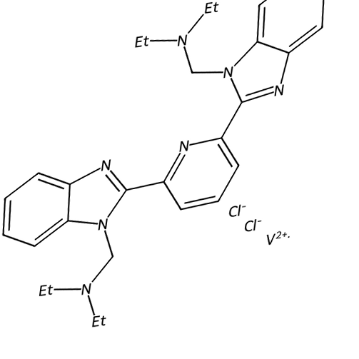 CCN(CC)Cn1c(-c2cccc(-c3nc4ccccc4n3CN(CC)CC)n2)nc2ccccc21.[Cl-].[Cl-].[V+2]